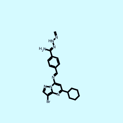 C=NN/N=C(\N)c1ccc(/C=N/c2cc(C3CCCCC3)nc3c(Br)cnn23)cc1